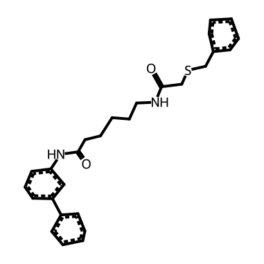 O=C(CSCc1ccccc1)NCCCCCC(=O)Nc1cccc(-c2ccccc2)c1